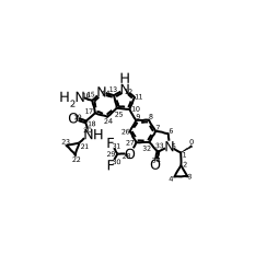 C[C@@H](C1CC1)N1Cc2cc(-c3c[nH]c4nc(N)c(C(=O)NC5CC5)cc34)cc(OC(F)F)c2C1=O